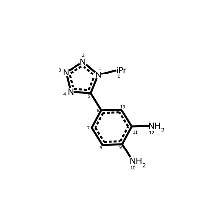 CC(C)n1nnnc1-c1ccc(N)c(N)c1